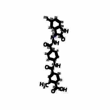 Cc1cc(C(=O)Nc2ccc(C(=O)N/N=C3\C(=O)Nc4ccc(I)cc43)cc2)ccc1C(=O)O